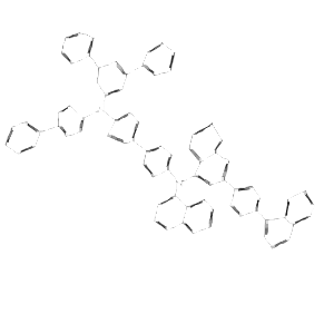 C1=C(c2ccccc2)C=C(N(c2ccc(-c3ccccc3)cc2)c2ccc(-c3ccc(N(c4cccc5ccccc45)c4cc(-c5ccc(-c6cccc7ccccc67)cc5)cc5ccccc45)cc3)cc2)CC1c1ccccc1